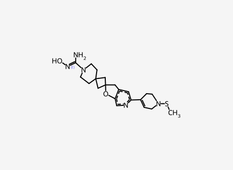 CSN1CC=C(c2cc3c(cn2)OC2(C3)CC3(CCN(/C(N)=N/O)CC3)C2)CC1